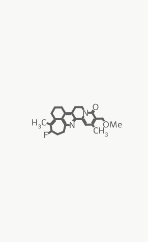 COCc1c(C)cc2n(c1=O)CCc1c-2nc2c3c1CCCC3=C(C)C(F)CC2